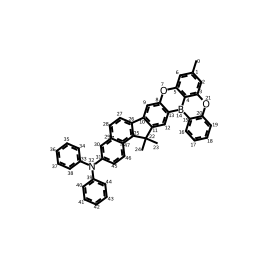 Cc1cc2c3c(c1)Oc1cc4c(cc1B3c1ccccc1O2)C(C)(C)c1c-4ccc2cc(N(c3ccccc3)c3ccccc3)ccc12